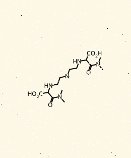 CN(C)C(=O)C(NCC[N]CCNC(C(=O)O)C(=O)N(C)C)C(=O)O